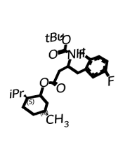 CC(C)[C@@H]1CC[C@@H](C)CC1OC(=O)CC(Cc1cc(F)ccc1F)NC(=O)OC(C)(C)C